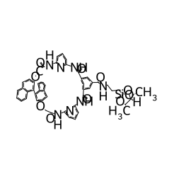 C[C@@H]1O[Si]2(CCCNC(=O)c3cc4cc(c3)C(=O)Nc3cccc(n3)NC(=O)COc3ccc5ccccc5c3-c3c(ccc5ccccc35)OCC(=O)Nc3cccc(n3)NC4=O)O[C@@H]1[C@@H](C)O2